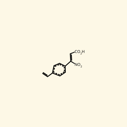 C=Cc1ccc(C(=CC(=O)O)[N+](=O)[O-])cc1